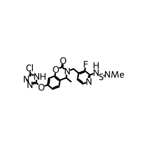 CNSNc1nccc(CN2C(=O)Oc3cc(Oc4nnc(Cl)[nH]4)ccc3C2C)c1F